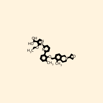 CCOc1c(C(O)O)cnn1-c1cccc(-c2cccc(C)c2OCc2ccc3c(c2C)CCN(C2COC2)C3)n1